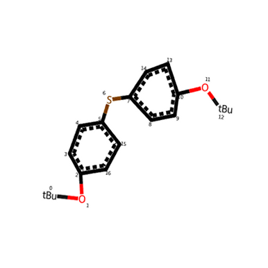 CC(C)(C)Oc1ccc(Sc2ccc(OC(C)(C)C)cc2)cc1